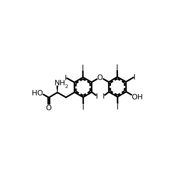 N[C@@H](Cc1c(I)c(I)c(Oc2c(I)c(I)c(O)c(I)c2I)c(I)c1I)C(=O)O